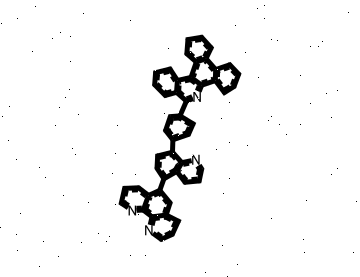 c1cnc2c(c1)cc(-c1ccc(-c3ccc(-c4nc5c6ccccc6c6ccccc6c5c5ccccc45)cc3)c3ncccc13)c1cccnc12